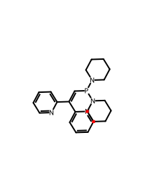 C(=C(c1ccccn1)c1ccccn1)P(N1CCCCC1)N1CCCCC1